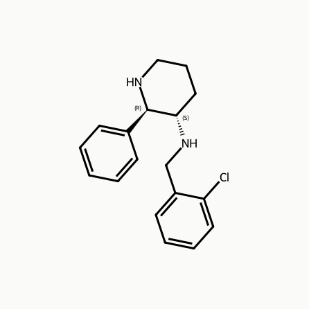 Clc1ccccc1CN[C@H]1CCCN[C@@H]1c1ccccc1